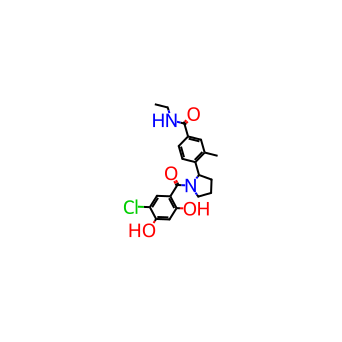 CCNC(=O)c1ccc(C2CCCN2C(=O)c2cc(Cl)c(O)cc2O)c(C)c1